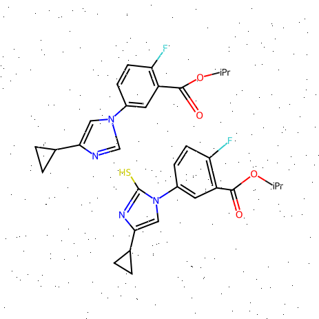 CC(C)OC(=O)c1cc(-n2cc(C3CC3)nc2S)ccc1F.CC(C)OC(=O)c1cc(-n2cnc(C3CC3)c2)ccc1F